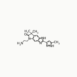 Cc1cc(-c2nc3cc4c(cc3[nH]2)C(C)(C)C(=O)N4CCN)n[nH]1